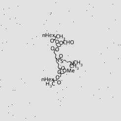 CCCCCCC(C)C(=O)OCC(COC)OC(=O)CCCN(CCCC(=O)OC(COC=O)COC(=O)C(C)CCCCCC)C(=O)SCCCN(C)C